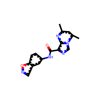 Cc1cc(C)n2cnc(C(=O)Nc3ccc4oncc4c3)c2n1